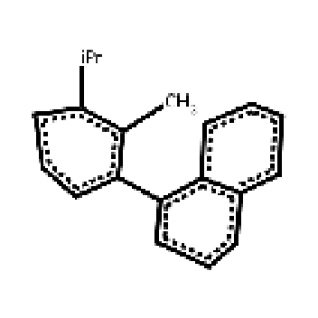 Cc1c(-c2cccc3ccccc23)cccc1C(C)C